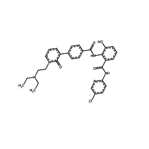 CCN(CC)CCn1cccc(-c2ccc(C(=O)Nc3c(O)cccc3C(=O)Nc3ccc(Cl)cn3)cc2)c1=O